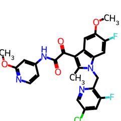 COc1cc(NC(=O)C(=O)c2c(C)n(Cc3ncc(Cl)cc3F)c3cc(F)c(OC)cc23)ccn1